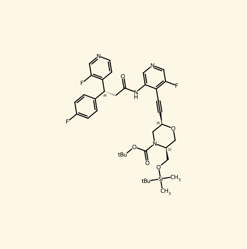 CC(C)(C)OC(=O)N1C[C@@H](C#Cc2c(F)cncc2NC(=O)C[C@H](c2ccc(F)cc2)c2ccncc2F)OC[C@H]1CO[Si](C)(C)C(C)(C)C